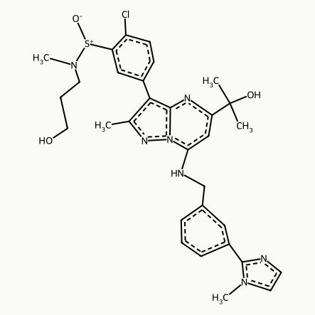 Cc1nn2c(NCc3cccc(-c4nccn4C)c3)cc(C(C)(C)O)nc2c1-c1ccc(Cl)c([S+]([O-])N(C)CCCO)c1